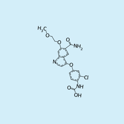 COCCOc1cc2nccc(Oc3ccc(NC(=O)O)c(Cl)c3)c2cc1C(N)=O